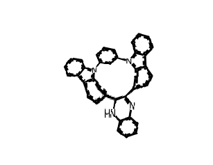 c1cc2cc(c1)-n1c3ccccc3c3ccc(cc31)C1Nc3ccccc3N=C1c1ccc3c4ccccc4n-2c3c1